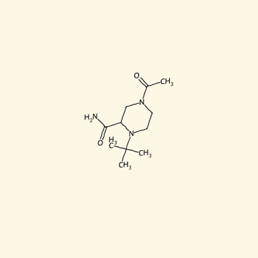 CC(=O)N1CCN(C(C)(C)C)C(C(N)=O)C1